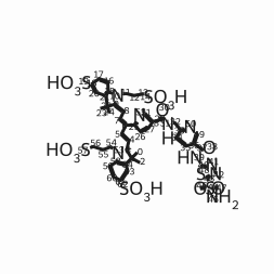 CC1(C)C(/C=C/C(=C/C=C2/N(CCCS(=O)(=O)O)c3ccc(S(=O)(=O)O)cc3C2(C)C)c2ccc(C(=O)NCc3ccc(C(=O)Nc4nnc(S(N)(=O)=O)s4)cn3)cn2)=[N+](CCCS(=O)(=O)O)c2ccc(S(=O)(=O)O)cc21